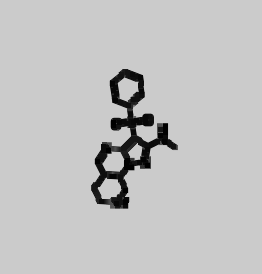 CNc1nn2c3c(cnc2c1S(=O)(=O)c1ccccc1)CCNC3